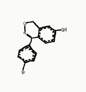 Oc1ccc2c(c1)CON=C2c1ccc(Br)cc1